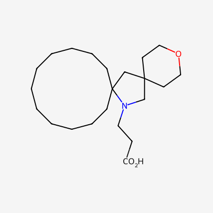 O=C(O)CCN1CC2(CCOCC2)CC12CCCCCCCCCCC2